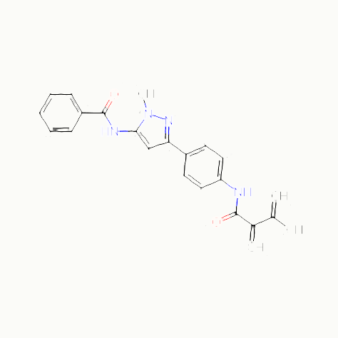 C=C(C)C(=C)C(=O)Nc1ccc(-c2cc(NC(=O)c3ccccc3)n(C)n2)cc1